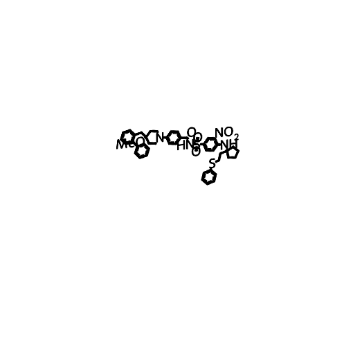 COC1(Cc2ccccc2-c2ccccc2)CCN(c2ccc(C(=O)NS(=O)(=O)c3ccc(NC4(CCSc5ccccc5)CCCC4)c([N+](=O)[O-])c3)cc2)CC1